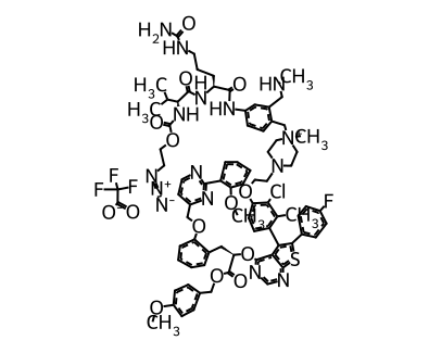 CNCc1cc(NC(=O)[C@H](CCCNC(N)=O)NC(=O)[C@@H](NC(=O)OCCN=[N+]=[N-])C(C)C)ccc1C[N+]1(C)CCN(CCOc2ccc(-c3c(-c4ccc(F)cc4)sc4ncnc(O[C@H](Cc5ccccc5OCc5ccnc(-c6ccccc6OC)n5)C(=O)OCc5ccc(OC)cc5)c34)c(C)c2Cl)CC1.O=C([O-])C(F)(F)F